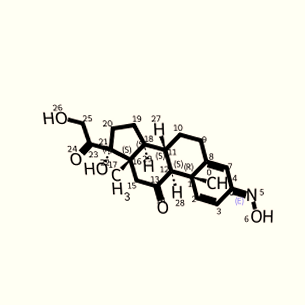 C[C@]12C=C/C(=N\O)C=C1CC[C@@H]1[C@@H]2C(=O)C[C@@]2(C)[C@H]1CC[C@]2(O)C(=O)CO